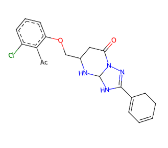 CC(=O)c1c(Cl)cccc1OCC1CC(=O)N2N=C(C3=CC=CCC3)NC2N1